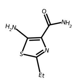 CCc1nc(C(N)=O)c(N)s1